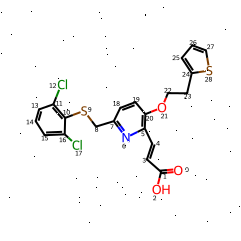 O=C(O)C=Cc1nc(CSc2c(Cl)cccc2Cl)ccc1OCCc1cccs1